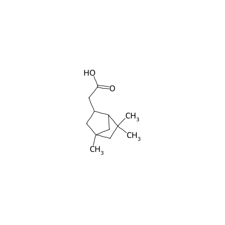 CC12CC(CC(=O)O)C(C1)C(C)(C)C2